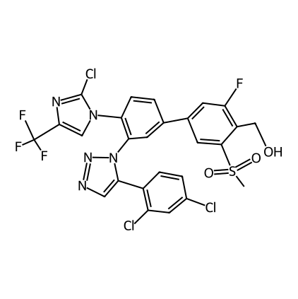 CS(=O)(=O)c1cc(-c2ccc(-n3cc(C(F)(F)F)nc3Cl)c(-n3nncc3-c3ccc(Cl)cc3Cl)c2)cc(F)c1CO